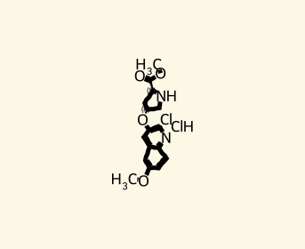 COC(=O)[C@@H]1C[C@@H](Oc2cc3cc(OC)ccc3nc2Cl)CN1.Cl